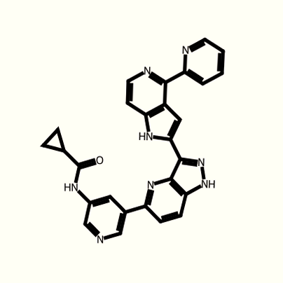 O=C(Nc1cncc(-c2ccc3[nH]nc(-c4cc5c(-c6ccccn6)nccc5[nH]4)c3n2)c1)C1CC1